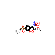 CCS(=O)(=O)c1ccc([C@@H](NC(=O)O)[C@@H](C)O)cc1